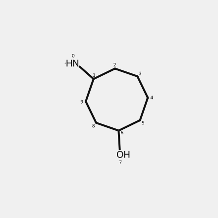 [NH]C1CCCCC(O)CC1